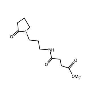 COC(=O)CCC(=O)NCCCN1CCCC1=O